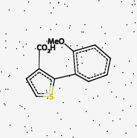 COc1ccccc1-c1sccc1C(=O)O